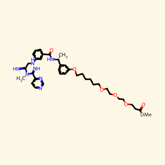 COC(=O)CCOCCOCCOCCCCCCOc1cccc([C@@H](C)NC(=O)c2cccc(NCC(=N)N(C)C(=N)c3ccncn3)c2)c1